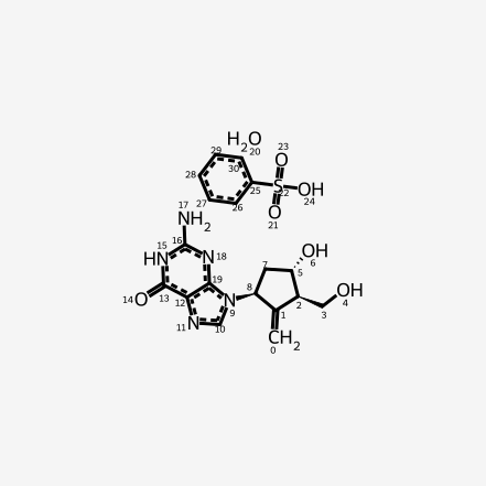 C=C1[C@H](CO)[C@@H](O)C[C@@H]1n1cnc2c(=O)[nH]c(N)nc21.O.O=S(=O)(O)c1ccccc1